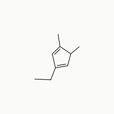 CCC1=CC(C)C(C)=C1